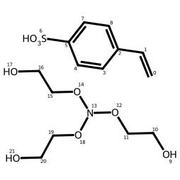 C=Cc1ccc(S(=O)(=O)O)cc1.OCCON(OCCO)OCCO